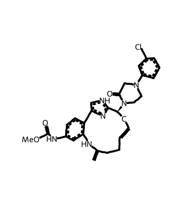 C=C1CC/C=C/C[C@H](N2CCN(c3cccc(Cl)c3)CC2=O)c2nc(c[nH]2)-c2ccc(NC(=O)OC)cc2N1